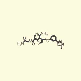 Cn1nnc(-c2cccc(OCc3csc4c(C(=O)OCC(N)=O)cnc(N)c34)c2)n1